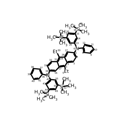 CCc1c2ccc(N(c3ccccc3)c3cc([Si](C)(C)C)cc([Si](C)(C)C)c3)cc2c(CC)c2ccc(N(c3ccccc3)c3cc([Si](C)(C)C)cc([Si](C)(C)C)c3)cc12